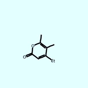 CCc1cc(=O)oc(C)c1C